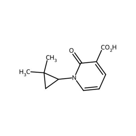 CC1(C)CC1n1cccc(C(=O)O)c1=O